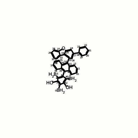 Bc1c(O)c(B)c(-c2c3ccccc3c(-c3cc(-c4ccccc4)cc4oc5ccccc5c34)c3ccccc23)c(B)c1O